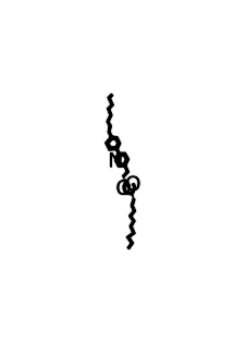 CCCCCCCCCC[C@H]1CO[C@H](CCc2ccc(-c3ccc(CCCCCCCC)cc3)nc2)OC1